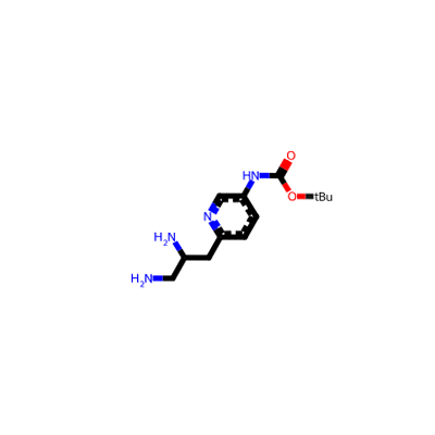 CC(C)(C)OC(=O)Nc1ccc(CC(N)CN)nc1